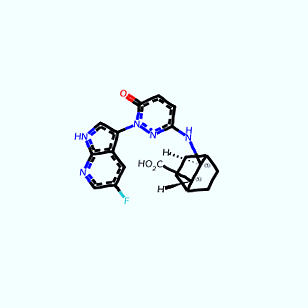 O=C(O)[C@H]1C2CCC(CC2)[C@@H]1Nc1ccc(=O)n(-c2c[nH]c3ncc(F)cc23)n1